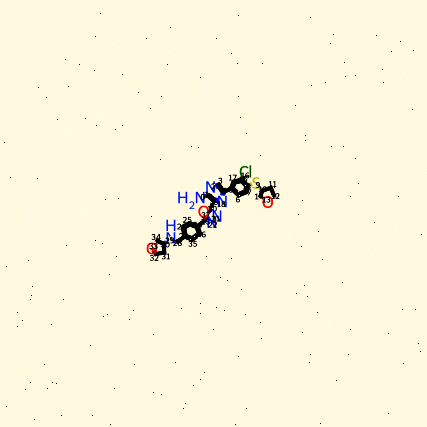 Nc1ncc(-c2ccc(SC3CCOC3)c(Cl)c2)nc1-c1nnc(-c2ccc(CNC3CCOC3)cc2)o1